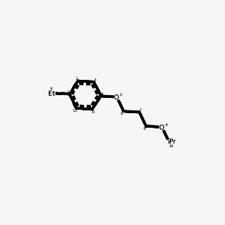 CCc1ccc(OCCCOC(C)C)cc1